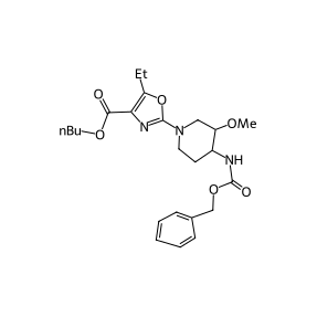 CCCCOC(=O)c1nc(N2CCC(NC(=O)OCc3ccccc3)C(OC)C2)oc1CC